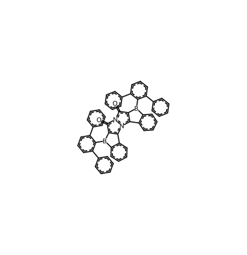 O=c1c2c(n3c4c(c(=O)n13)B(c1c(-c3ccccc3)cccc1-c1ccccc1)c1ccccc1-4)-c1ccccc1B2c1c(-c2ccccc2)cccc1-c1ccccc1